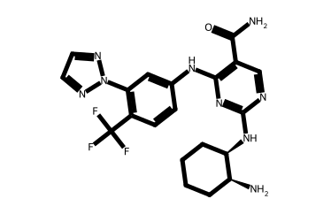 NC(=O)c1cnc(N[C@@H]2CCCC[C@@H]2N)nc1Nc1ccc(C(F)(F)F)c(-n2nccn2)c1